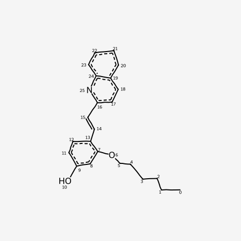 CCCCCCOc1cc(O)ccc1/C=C/c1ccc2ccccc2n1